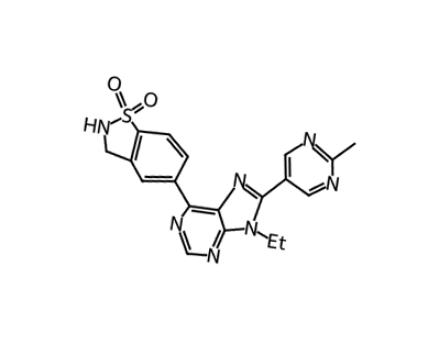 CCn1c(-c2cnc(C)nc2)nc2c(-c3ccc4c(c3)CNS4(=O)=O)ncnc21